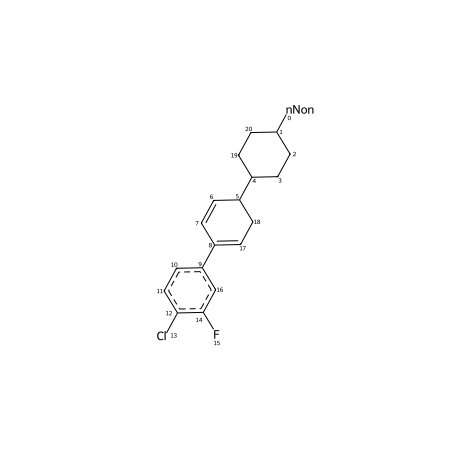 CCCCCCCCCC1CCC(C2C=CC(c3ccc(Cl)c(F)c3)=CC2)CC1